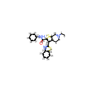 CCN1CCc2c(sc(C(=O)Nc3ccccc3)c2-c2nc3ccccc3s2)C1